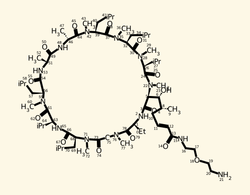 CC[C@@H]1NC(=O)[C@H]([C@H](O)[C@H](C)C/C=C/C(=O)NCCOCCN)N(C)C(=O)[C@H](C(C)C)N(C)C(=O)[C@H](CC(C)C)N(C)C(=O)[C@H](CC(C)C)N(C)C(=O)[C@@H](C)NC(=O)[C@H](C)NC(=O)[C@H](CC(C)C)N(C)C(=O)[C@H](C(C)C)NC(=O)[C@H](CC(C)C)N(C)C(=O)CN(C)C1=O